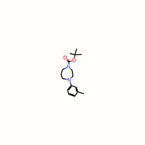 Cc1cccc(N2CCCN(C(=O)OC(C)(C)C)CC2)c1